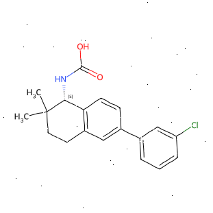 CC1(C)CCc2cc(-c3cccc(Cl)c3)ccc2[C@H]1NC(=O)O